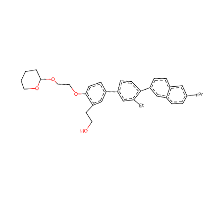 CCCc1ccc2cc(-c3ccc(-c4ccc(OCCOC5CCCCO5)c(CCO)c4)cc3CC)ccc2c1